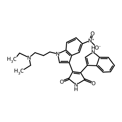 CCN(CC)CCCn1cc(C2=C(c3c[nH]c4ccccc34)C(=O)NC2=O)c2cc([N+](=O)[O-])ccc21